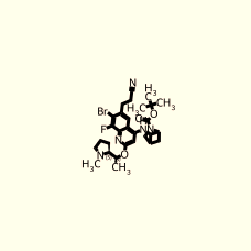 C[C@H](Oc1cc(NC2C3CC2N(C(=O)OC(C)(C)C)C3)c2cc(CCC#N)c(Br)c(F)c2n1)[C@@H]1CCCN1C